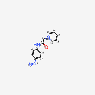 [N]=Nc1ccc(NC(=O)C[n+]2ccccc2)cc1